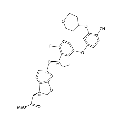 COC(=O)C[C@@H]1COc2cc(O[C@@H]3CCc4c(Oc5ccc(C#N)c(OC6CCOCC6)c5)ccc(F)c43)ccc21